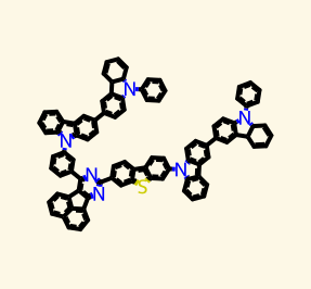 C1=CC2c3cc(-c4ccc5c(c4)c4ccccc4n5-c4cccc(-c5nc(-c6ccc7c(c6)sc6cc(-n8c9ccccc9c9cc(-c%10ccc%11c(c%10)C%10C=CC=CC%10N%11c%10ccccc%10)ccc98)ccc67)nc6c5-c5cccc7cccc-6c57)c4)ccc3N(c3ccccc3)C2C=C1